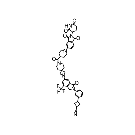 N#CC1CC(c2cccc(N3Cc4c(cc(N5CC6(CCN(C(=O)C7CCN(c8ccc9c(c8)C(=O)N(C8CCC(=O)NC8=O)C9=O)CC7)CC6)C5)cc4C(F)(F)F)C3=O)c2)C1